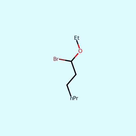 CCCCCC(Br)OCC